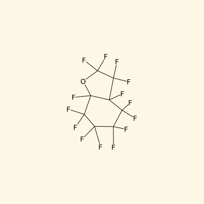 FC1(F)OC2(F)C(F)(F)C(F)(F)C(F)(F)C(F)(F)C2(F)C1(F)F